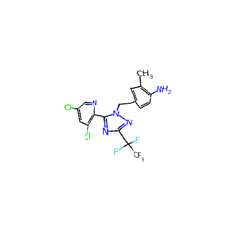 Cc1cc(Cn2nc(C(F)(F)C(F)(F)F)nc2-c2ncc(Cl)cc2Cl)ccc1N